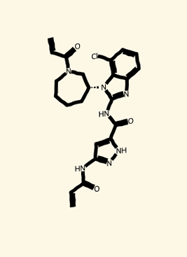 C=CC(=O)Nc1cc(C(=O)Nc2nc3cccc(Cl)c3n2[C@@H]2CCCCN(C(=O)C=C)C2)[nH]n1